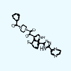 O=C(C(=O)N1CCN(C(=O)c2ccccc2)CC1)c1c[nH]c2c(-c3nnc(-c4cnccn4)[nH]3)ccc(F)c12